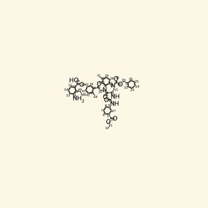 CCOC(=O)c1cccc(NC(=O)NC2CN(C(=O)OCc3ccccc3)c3ccc(C)cc3N(CC(=O)c3ccccc3C)C2=O)c1.CCc1c(N)cccc1C(=O)O